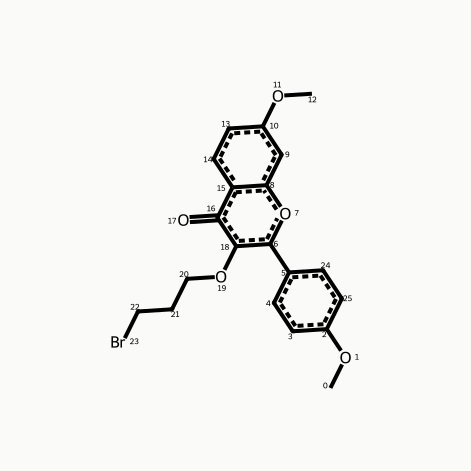 COc1ccc(-c2oc3cc(OC)ccc3c(=O)c2OCCCBr)cc1